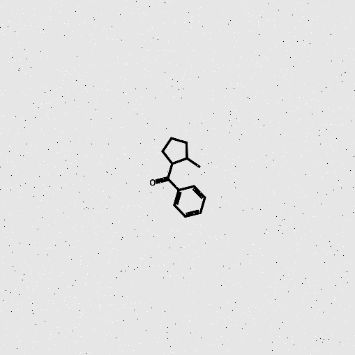 CC1CCCC1C(=O)c1ccccc1